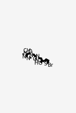 Cn1cnc2ncn(Cc3nc(CC(O)c4ccc(Br)s4)no3)c(=O)c21